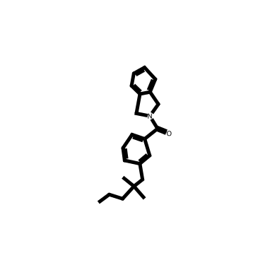 CCCC(C)(C)Cc1cccc(C(=O)N2Cc3ccccc3C2)c1